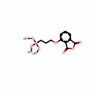 CCCO[Si](CCCOc1cccc2c1C(=O)OC2=O)(OCCC)OCCC